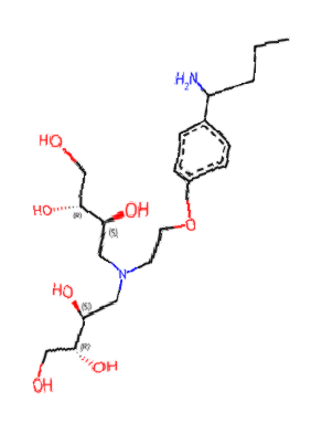 CCCC(N)c1ccc(OCCN(C[C@H](O)[C@H](O)CO)C[C@H](O)[C@H](O)CO)cc1